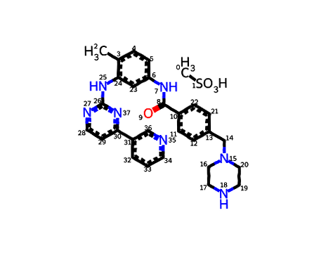 CS(=O)(=O)O.Cc1ccc(NC(=O)c2ccc(CN3CCNCC3)cc2)cc1Nc1nccc(-c2cccnc2)n1